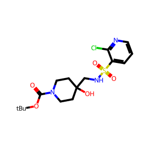 CC(C)(C)OC(=O)N1CCC(O)(CNS(=O)(=O)c2cccnc2Cl)CC1